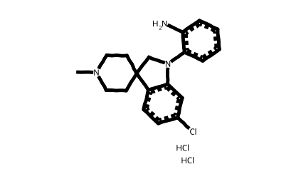 CN1CCC2(CC1)CN(c1ccccc1N)c1cc(Cl)ccc12.Cl.Cl